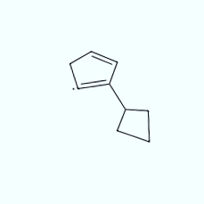 [C]1=C(C2CCC2)C=CC1